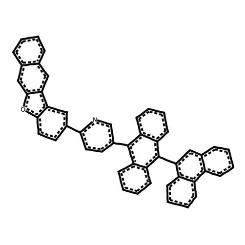 c1ccc2cc3c(cc2c1)oc1ccc(-c2ccc(-c4c5ccccc5c(-c5cc6ccccc6c6ccccc56)c5ccccc45)cn2)cc13